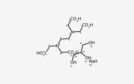 O=C(O)CN(CCN(CC(=O)O)CC(=O)O)CC(=O)O.OCC(O)CO.[NaH]